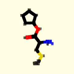 CC(C)(C)SCC(N)C(=O)OC1CCCC1